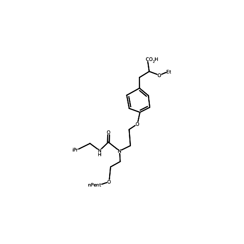 CCCCCOCCN(CCOc1ccc(CC(OCC)C(=O)O)cc1)C(=O)NCC(C)C